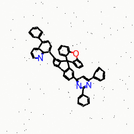 c1ccc(-c2cc(-c3ccc4c(c3)C3(c5ccccc5Oc5ccccc53)c3cc(-c5ccc(-c6ccccc6)c6cccnc56)ccc3-4)nc(-c3ccccc3)n2)cc1